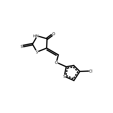 O=C1NC(=S)SC1=COc1cc(Cl)cs1